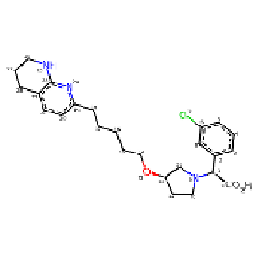 O=C(O)[C@H](c1cccc(Cl)c1)N1CC[C@@H](OCCCCCc2ccc3c(n2)NCCC3)C1